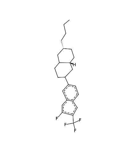 CCCC[C@@H]1CC[C@@H]2CC(c3ccc4cc(C(F)(F)F)c(F)cc4c3)CCC2C1